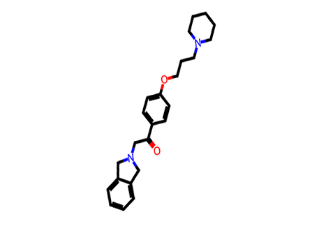 O=C(CN1Cc2ccccc2C1)c1ccc(OCCCN2CCCCC2)cc1